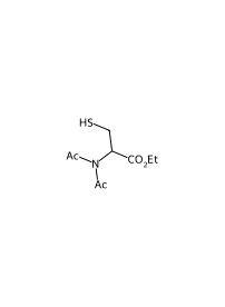 CCOC(=O)C(CS)N(C(C)=O)C(C)=O